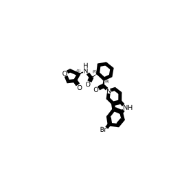 O=C1COC[C@@H]1NC(=O)[C@@H]1CCCC[C@H]1C(=O)N1CCc2[nH]c3ccc(Br)cc3c2C1